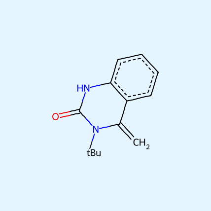 C=C1c2ccccc2NC(=O)N1C(C)(C)C